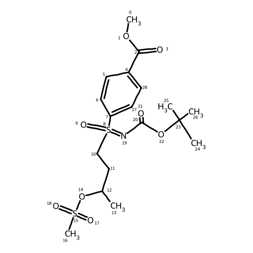 COC(=O)c1ccc(S(=O)(CCC(C)OS(C)(=O)=O)=NC(=O)OC(C)(C)C)cc1